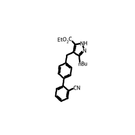 CCCCc1n[nH]c(C(=O)OCC)c1Cc1ccc(-c2ccccc2C#N)cc1